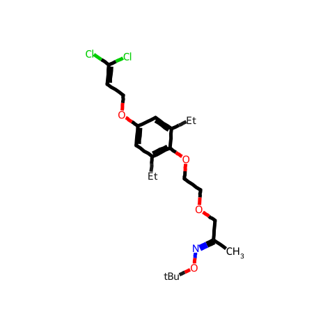 CCc1cc(OCC=C(Cl)Cl)cc(CC)c1OCCOCC(C)=NOC(C)(C)C